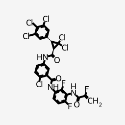 C=C(F)C(=O)Nc1c(F)ccc(NC(=O)c2cc(NC(=O)[C@H]3[C@H](c4cc(Cl)c(Cl)c(Cl)c4)C3(Cl)Cl)ccc2Cl)c1F